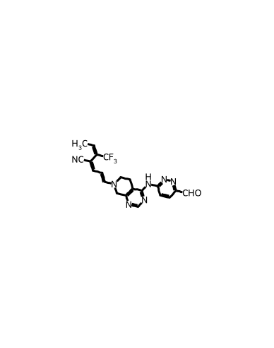 C\C=C(/C(C#N)=C\C=C\N1CCc2c(ncnc2Nc2ccc(C=O)nn2)C1)C(F)(F)F